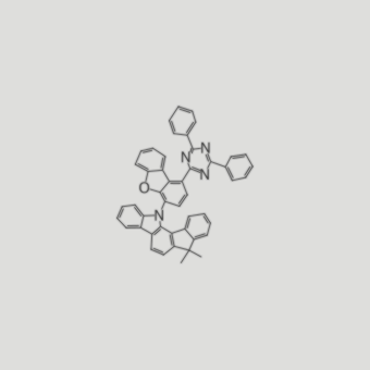 CC1(C)c2ccccc2-c2c1ccc1c3ccccc3n(-c3ccc(-c4nc(-c5ccccc5)nc(-c5ccccc5)n4)c4c3oc3ccccc34)c21